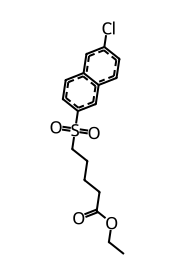 CCOC(=O)CCCCS(=O)(=O)c1ccc2cc(Cl)ccc2c1